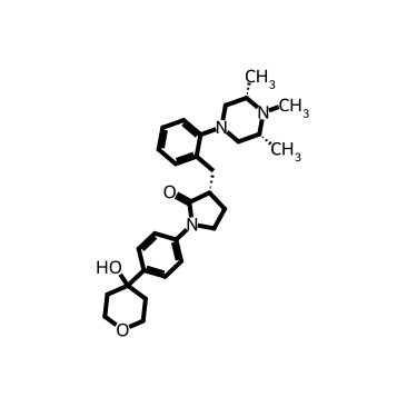 C[C@@H]1CN(c2ccccc2C[C@@H]2CCN(c3ccc(C4(O)CCOCC4)cc3)C2=O)C[C@H](C)N1C